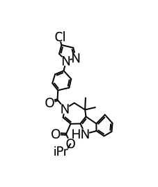 CC(C)OC(=O)C1=CN(C(=O)c2ccc(-n3cc(Cl)cn3)cc2)CC(C)(C)c2c1[nH]c1ccccc21